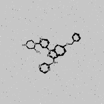 C[C@H]1CNCCN1c1cc(-n2nc(Nc3cnccn3)c3ccc(OCc4ccccc4)cc32)ccn1